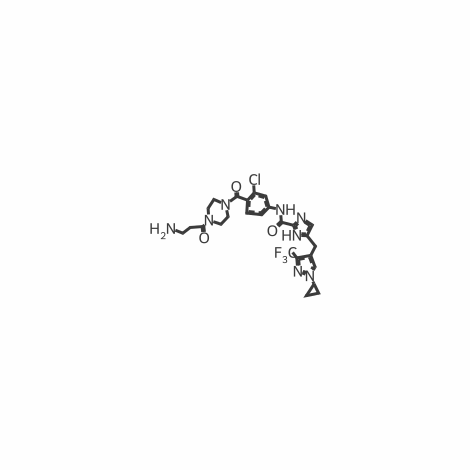 NCCC(=O)N1CCN(C(=O)c2ccc(NC(=O)c3ncc(Cc4cn(C5CC5)nc4C(F)(F)F)[nH]3)cc2Cl)CC1